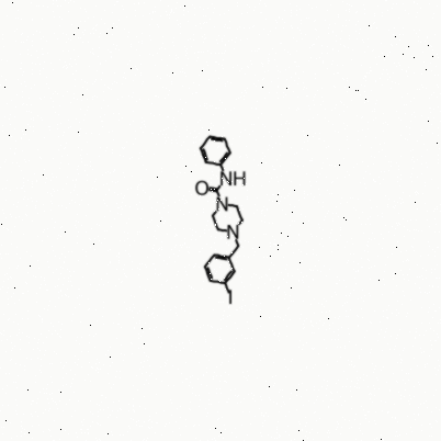 O=C(Nc1ccccc1)N1CCN(Cc2cccc(I)c2)CC1